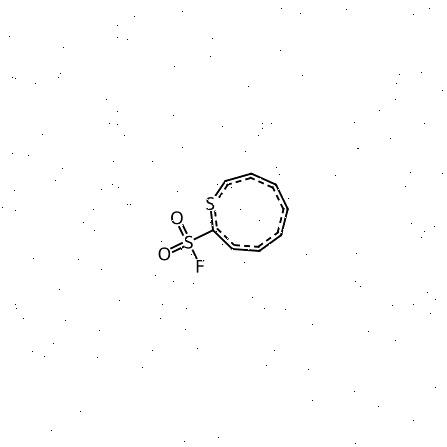 O=S(=O)(F)c1cccccccs1